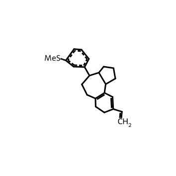 C=CC1=CC2=C(CC1)CCC(c1cccc(SC)c1)C1CCCC21